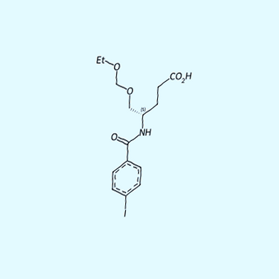 CCOCOC[C@H](CCC(=O)O)NC(=O)c1ccc(I)cc1